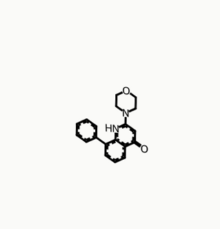 O=c1cc(N2CCOCC2)[nH]c2c(-c3ccccc3)cccc12